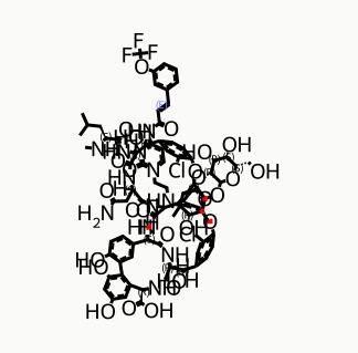 CN[C@@H](CC(C)C)C(=O)N[C@H]1C(=O)N[C@@H](CC(N)=O)C(=O)NC2C(=O)N[C@@H]3C(=O)N[C@@H](C(=O)N[C@@H](C(=O)O)c4cc(O)cc(O)c4-c4cc3ccc4O)[C@H](O)c3ccc(c(Cl)c3)Oc3cc2cc(c3OC2O[C@@H](CO)[C@@H](O)[C@@H](O)[C@H]2O[C@H]2CC(C)(NCCn3ccc(NC(=O)/C=C/c4cccc(OC(F)(F)F)c4)nc3=O)[C@@H](O)C(C)O2)Oc2ccc(cc2Cl)[C@H]1O